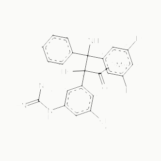 COC(=O)C(C=O)(c1cc(NC(=N)N)cc(C(F)(F)F)c1)C(N)(c1ccccc1)c1cc(F)cc(F)c1